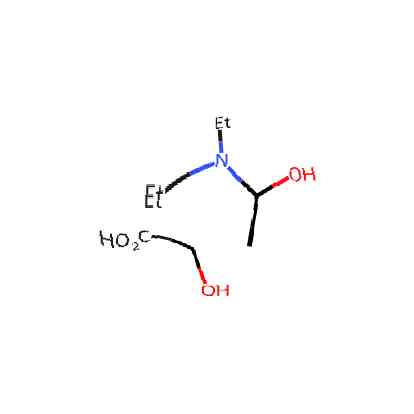 CCN(CC)C(C)O.O=C(O)CO